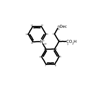 CCCCCCCCCCCC(C(=O)O)c1ccccc1-[n+]1ccccc1